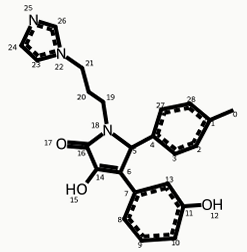 Cc1ccc(C2C(c3cccc(O)c3)=C(O)C(=O)N2CCCn2ccnc2)cc1